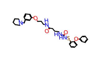 O=C(CCCNC(=O)NSc1ccccc1Oc1ccccc1)NCCCOc1cccc(CN2CCCCC2)c1